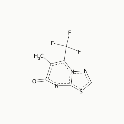 Cc1c(C(F)(F)F)n2ncsc2nc1=O